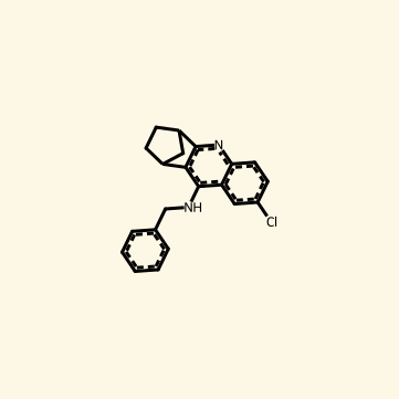 Clc1ccc2nc3c(c(NCc4ccccc4)c2c1)C1CCC3C1